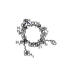 C=C1NC(CC)C(=O)N(C)[C@H](C)C(=O)N(C)[C@@H]([C@@H](C)OCCCCN2CCOCC2)C(=O)NC(C(C)C)C(=O)N(C)[C@@H](CC(C)C)C(=O)NC(C)C(=O)N2/C=C\N(C)[C@@H](CC(C)C)C(=O)N(C)[C@@H](CC2C)C(=O)N(C)C(C(C)C)C(=O)N2O[C@H]([C@H](C)CCCCCOS(C)(=O)=O)[C@@H]12